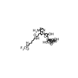 Nc1ncnc2c1c(CCC(=O)NCCCCCCNC(=O)C(F)(F)F)cn2[C@H]1C[C@@H](O)[C@@H](COP(=O)(O)OP(=O)(O)OP(=O)(O)O)O1